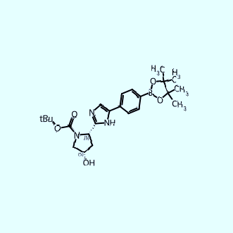 CC(C)(C)OC(=O)N1C[C@@H](O)C[C@H]1c1ncc(-c2ccc(B3OC(C)(C)C(C)(C)O3)cc2)[nH]1